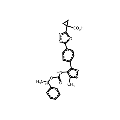 Cc1nsc(-c2ccc(-c3nnc(C4(C(=O)O)CC4)o3)cc2)c1NC(=O)O[C@H](C)c1ccccc1